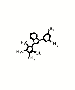 CC1=C(C)C(C)=C(C)[C]1C1C=C(c2cc(C)cc(C)c2)c2ccccc21